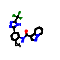 Cc1ccc(-c2nnc(C(F)(F)F)[nH]2)cc1NC(=O)c1cnn2ccccc12